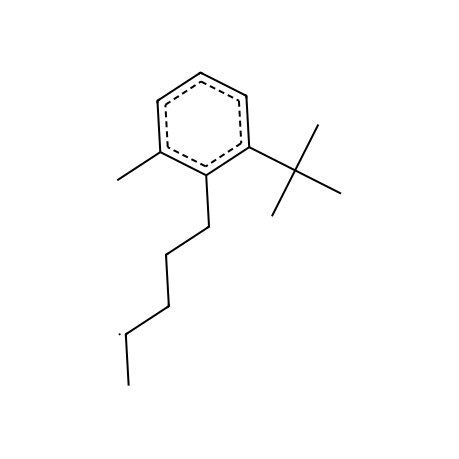 C[CH]CCCc1c(C)cccc1C(C)(C)C